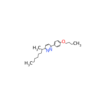 CCCCCCC(C)c1ccc(-c2ccc(OCCCC)cc2)nn1